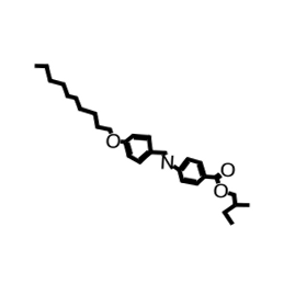 CCCCCCCCCCOc1ccc(C=Nc2ccc(C(=O)OCC(C)CC)cc2)cc1